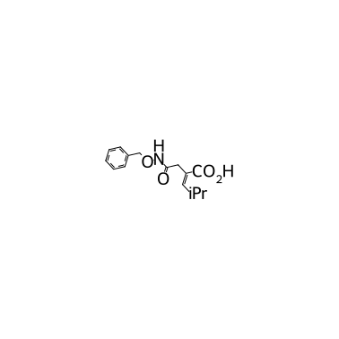 CC(C)C=C(CC(=O)NOCc1ccccc1)C(=O)O